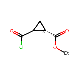 CCOC(=O)[C@H]1CC1C(=O)Cl